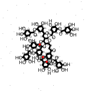 O=C(CCC1OC(OC(=O)c2cc(O)c(O)c(OC(=O)c3cc(O)c(O)c(O)c3)c2)C(CC(=O)c2cc(O)c(O)c(OC(=O)c3cc(O)c(O)c(O)c3)c2)C(OC(=O)c2cc(O)c(O)c(OC(=O)c3cc(O)c(O)c(O)c3)c2)C1OC(=O)c1cc(O)c(O)c(OC(=O)c2cc(O)c(O)c(O)c2)c1)c1cc(O)c(O)c(OC(=O)c2cc(O)c(O)c(O)c2)c1